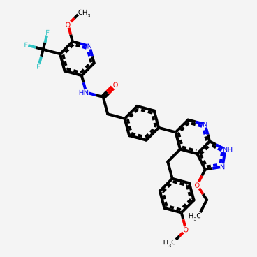 CCOc1n[nH]c2ncc(-c3ccc(CC(=O)Nc4cnc(OC)c(C(F)(F)F)c4)cc3)c(Cc3ccc(OC)cc3)c12